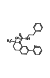 CC1(C)CCc2ccc(-c3ccccn3)cc2N1C(=O)NCCc1ccccc1